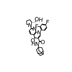 O=C(NC12CC3CC(C1)C(C3)C2)c1cn(-c2ccc(F)cc2F)c2nc(N3CCC[C@@H]3CO)ccc2c1=O